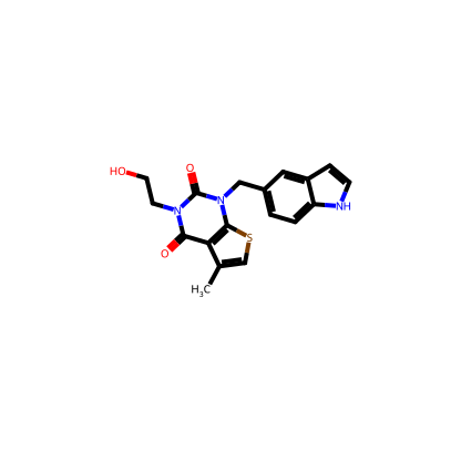 Cc1csc2c1c(=O)n(CCO)c(=O)n2Cc1ccc2[nH]ccc2c1